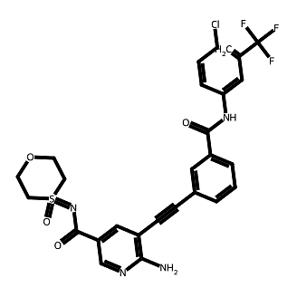 C=C(/C=C(\C=C/CCl)NC(=O)c1cccc(C#Cc2cc(C(=O)N=S3(=O)CCOCC3)cnc2N)c1)C(F)(F)F